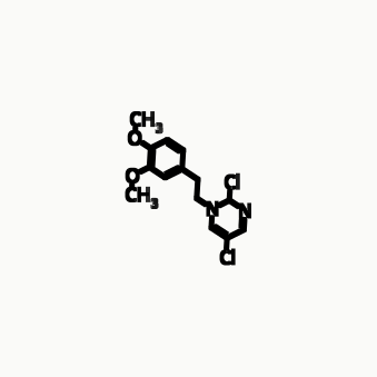 COc1ccc(CCN2C=C(Cl)C=NC2Cl)cc1OC